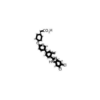 O=C(O)C[C@H]1CC[C@H](Oc2ccc(-c3ccc(-c4nc5cc(Cl)c(Cl)cc5[nH]4)c(F)c3)cn2)CC1